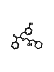 O=C(c1ccccc1)C(Cc1cccc(O)c1)OCC(O)CN1CCCCC1